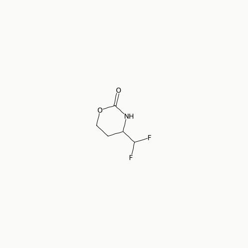 O=C1NC(C(F)F)CCO1